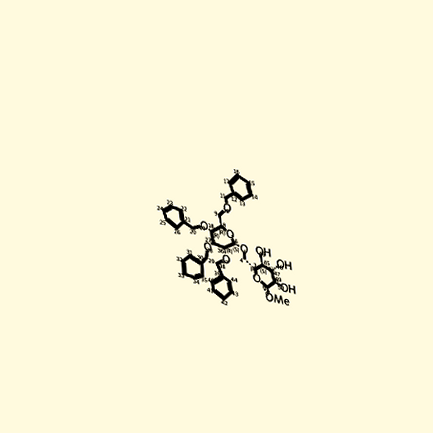 CO[C@H]1O[C@H](CO[C@H]2O[C@H](COCc3ccccc3)[C@@H](OCc3ccccc3)[C@H](OCc3ccccc3)[C@H]2OCc2ccccc2)[C@@H](O)[C@H](O)[C@H]1O